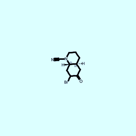 N#CN1CCC[C@H]2CC(=O)C(Br)C[C@@H]21